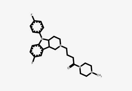 CN1CCN(C(=O)CCCN2CCC3C(C2)c2cc(F)ccc2N3c2ccc(F)cc2)CC1